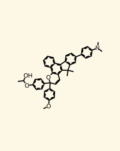 COc1ccc(C2(c3ccc(OC(C)O)cc3)C=Cc3c4c(c5ccccc5c3O2)-c2ccc(-c3ccc(N(C)C)cc3)cc2C4(C)C)cc1